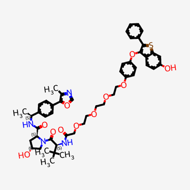 Cc1ncoc1-c1ccc([C@H](C)NC(=O)[C@@H]2C[C@@H](O)CN2C(=O)[C@@H](NC(=O)COCCOCCOCCOc2ccc(Oc3c(-c4ccccc4)sc4cc(O)ccc34)cc2)C(C)(C)C)cc1